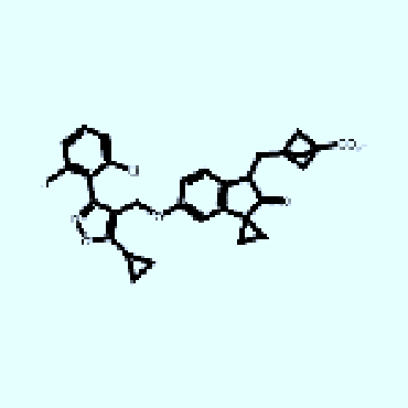 O=C(O)C12CC(CC3C(=O)C4(CC4)c4cc(OCc5c(-c6c(Cl)cccc6Cl)noc5C5CC5)ccc43)(C1)C2